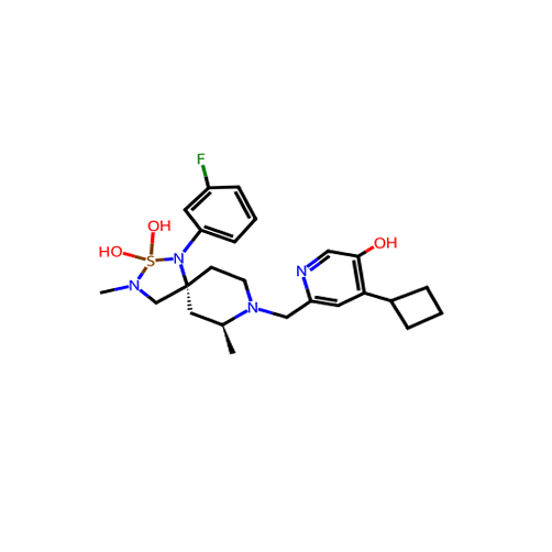 C[C@H]1C[C@]2(CCN1Cc1cc(C3CCC3)c(O)cn1)CN(C)S(O)(O)N2c1cccc(F)c1